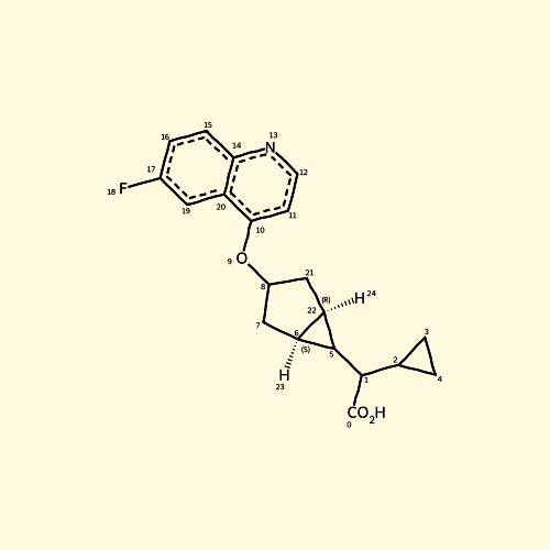 O=C(O)C(C1CC1)C1[C@H]2CC(Oc3ccnc4ccc(F)cc34)C[C@@H]12